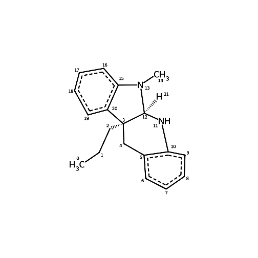 CCC[C@@]12Cc3ccccc3N[C@@H]1N(C)c1ccccc12